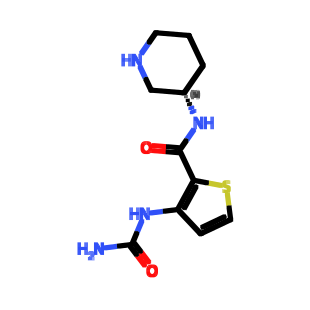 NC(=O)Nc1ccsc1C(=O)N[C@H]1CCCNC1